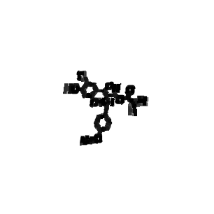 CCNC(=O)Oc1noc(-c2cc(Cl)c(O)cc2O)c1NCc1ccc(OC)cc1